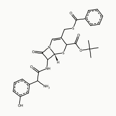 CC(C)(C)OC(=O)C1S[C@@H]2C(NC(=O)C(N)c3cccc(O)c3)C(=O)N2C=C1CSC(=O)c1ccccc1